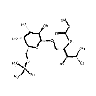 CC[C@@H](O)[C@@H](O)[C@H](CO[C@H]1O[C@H](CO[Si](C)(C)C(C)(C)C)[C@H](O)[C@H](O)[C@H]1O)NC(=O)OC(C)(C)C